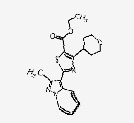 CCOC(=O)c1sc(-c2c(C)nn3ccccc23)nc1C1CCOCC1